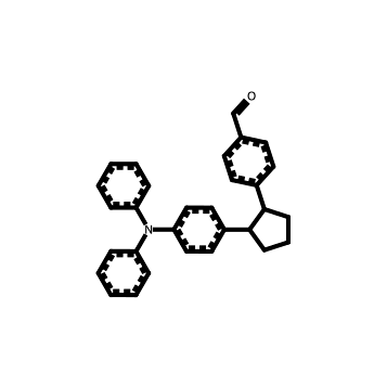 O=Cc1ccc(C2CCCC2c2ccc(N(c3ccccc3)c3ccccc3)cc2)cc1